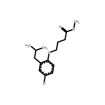 COC(=O)CCCOc1ccc(Cl)cc1CC(C)C